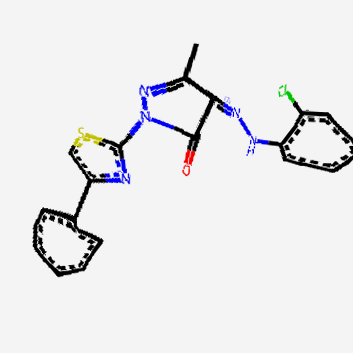 CC1=NN(c2nc(-c3ccccc3)cs2)C(=O)/C1=N\Nc1ccccc1Cl